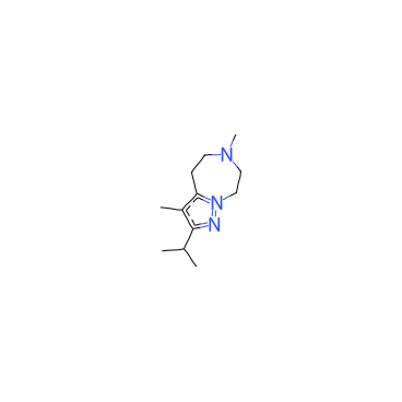 Cc1c(C(C)C)nn2c1CCN(C)CC2